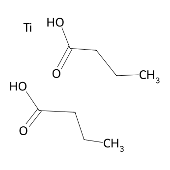 CCCC(=O)O.CCCC(=O)O.[Ti]